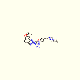 COc1ccc2c(c1)CCc1cnc(-n3cc(C(=O)Nc4ccc(CCCN5CCN(C)CC5)cc4)c(N)n3)nc1-2